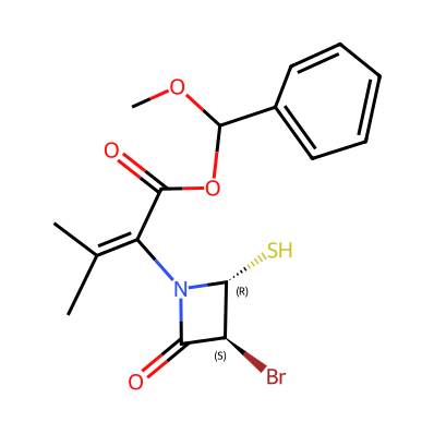 COC(OC(=O)C(=C(C)C)N1C(=O)[C@H](Br)[C@H]1S)c1ccccc1